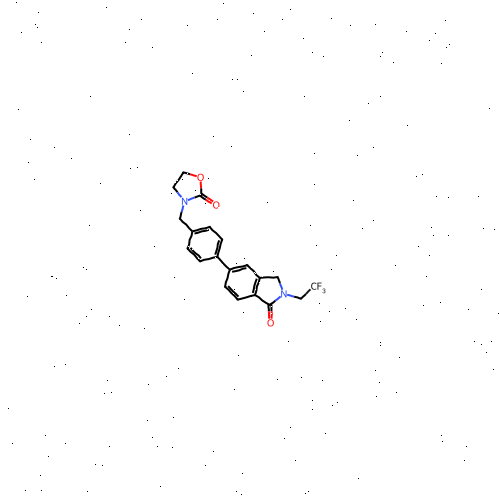 O=C1OCCN1Cc1ccc(-c2ccc3c(c2)CN(CC(F)(F)F)C3=O)cc1